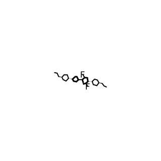 CCC[C@H]1CC[C@H](c2ccc(-c3cc(F)c([C@H]4CC[C@H](CCC)CC4)cc3F)cc2)CC1